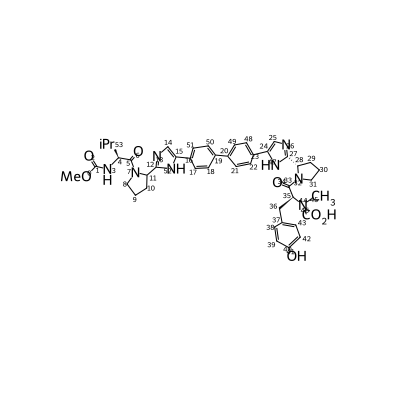 COC(=O)N[C@H](C(=O)N1CCCC1c1ncc(-c2ccc(-c3ccc(-c4cnc([C@@H]5CCCN5C(=O)[C@H](Cc5ccc(O)cc5)N(C)C(=O)O)[nH]4)cc3)cc2)[nH]1)C(C)C